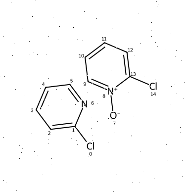 Clc1ccccn1.[O-][n+]1ccccc1Cl